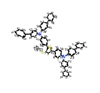 CCCSc1cc(-c2ccc(N(c3ccc(-c4ccccc4)cc3)c3ccc(-c4ccccc4)cc3)cc2)sc1-c1ccc(N(c2ccc(-c3ccccc3)cc2)c2ccc(-c3ccccc3)cc2)cc1